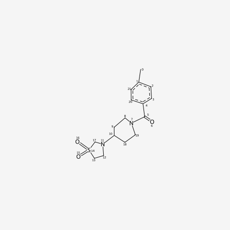 Cc1ccc(C(=O)N2CCC(N3CCS(=O)(=O)C3)CC2)cc1